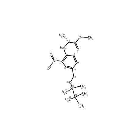 COC(=O)[C@@H](C)Nc1ccc(CO[Si](C)(C)C(C)(C)C)cc1[N+](=O)[O-]